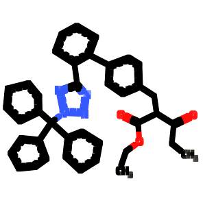 CCOC(=O)C(Cc1ccc(-c2ccccc2-c2nnn(C(c3ccccc3)(c3ccccc3)c3ccccc3)n2)cc1)C(=O)CC